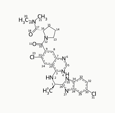 C[C@@H](Nc1ncnc2cc(C(=O)N3CCC[C@H]3C(=O)N(C)C)c(Cl)cc12)c1nc2cc(Cl)ccc2[nH]1